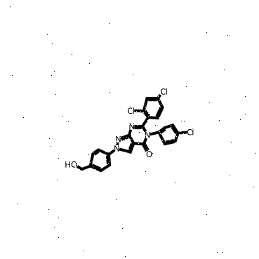 O=c1c2cn(-c3ccc(CO)cc3)nc2nc(-c2ccc(Cl)cc2Cl)n1-c1ccc(Cl)cc1